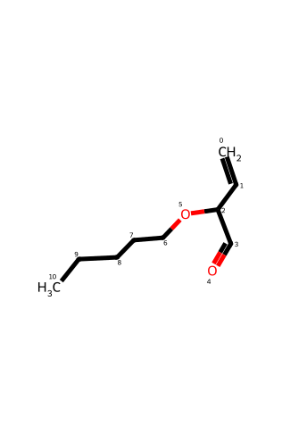 C=CC([C]=O)OCCCCC